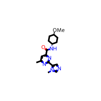 CO[C@H]1CC[C@H](NC(=O)c2cc(C)nc(-c3cncn3C)n2)CC1